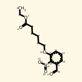 CCOC(=O)CCCCCOc1cccc(C=O)c1[N+](=O)[O-]